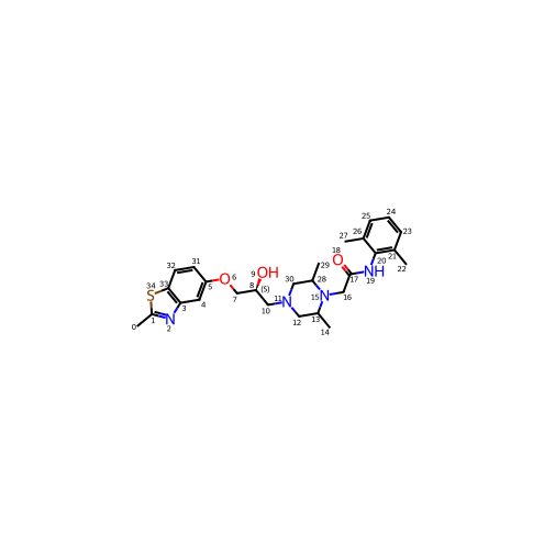 Cc1nc2cc(OC[C@@H](O)CN3CC(C)N(CC(=O)Nc4c(C)cccc4C)C(C)C3)ccc2s1